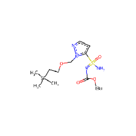 CC(C)(C)OC(=O)N=S(N)(=O)c1ccnn1COCC[Si](C)(C)C